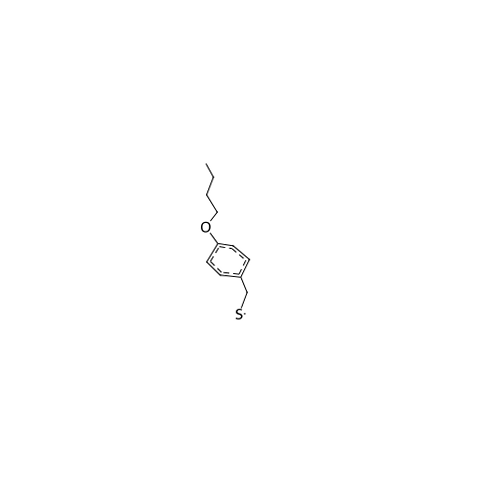 CCCCOc1ccc(C[S])cc1